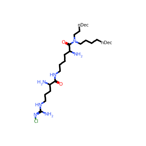 CCCCCCCCCCCCCCN(CCCCCCCCCCCC)C(=O)C(N)CCCCNC(=O)C(N)CCCN/C(N)=N/Cl